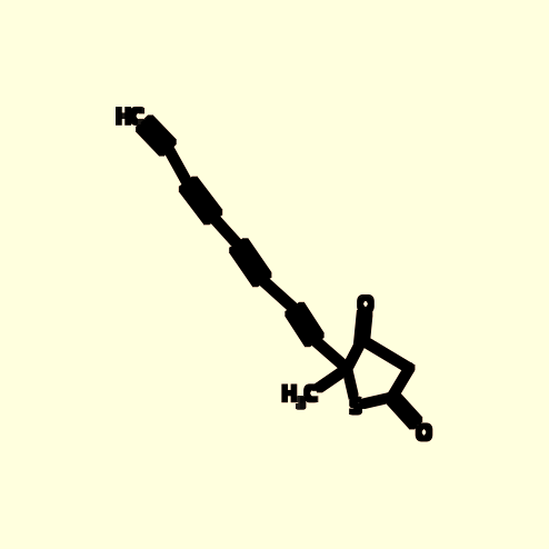 C#CC#CC#CC#CC1(C)SC(=O)CC1=O